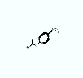 CC(=O)C(C)Oc1ccc([N+](=O)[O-])cc1